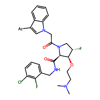 CC(=O)c1cn(CC(=O)N2C[C@H](F)[C@@H](OCCN(C)C)[C@H]2C(=O)NCc2cccc(Cl)c2F)c2ccccc12